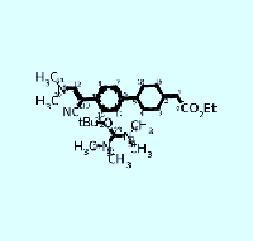 CCOC(=O)CC1CCC(c2ccc(/C(C#N)=C/N(C)C)cc2)CC1.CN(C)C(OC(C)(C)C)N(C)C